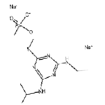 CCNc1nc(NC(C)C)nc(SC)n1.C[As](=O)([O-])[O-].[Na+].[Na+]